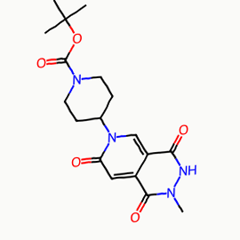 Cn1[nH]c(=O)c2cn(C3CCN(C(=O)OC(C)(C)C)CC3)c(=O)cc2c1=O